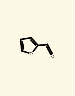 O=[C]c1ccco1